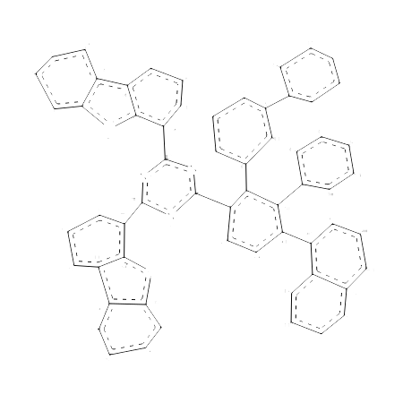 c1ccc(-c2cccc(-c3c(-c4nc(-c5cccc6c5oc5ccccc56)nc(-c5cccc6c5oc5ccccc56)n4)ccc(-c4cccc5ccccc45)c3-c3ccccc3)c2)cc1